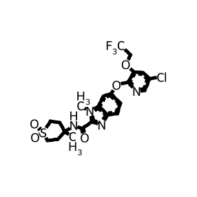 Cn1c(C(=O)NC2(C)CCS(=O)(=O)CC2)nc2ccc(Oc3ncc(Cl)cc3OCC(F)(F)F)cc21